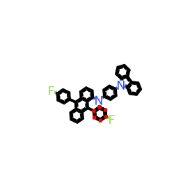 Fc1ccc(-c2c3ccccc3c(-c3ccc(F)cc3)c3c(N(c4ccccc4)c4ccc(-n5c6ccccc6c6ccccc65)cc4)cccc23)cc1